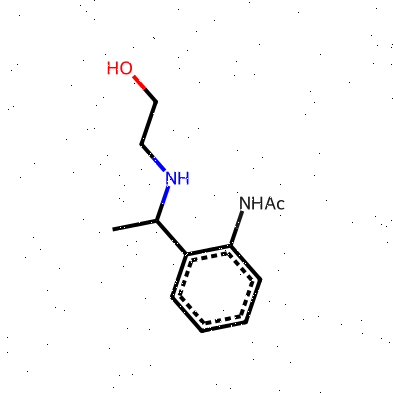 CC(=O)Nc1ccccc1C(C)NCCO